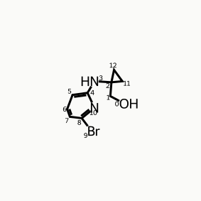 OCC1(Nc2cccc(Br)n2)CC1